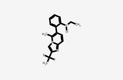 CC[S+]([O-])c1ccccc1-c1ccc2nc(C(C)(F)F)cn2c1C